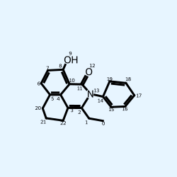 CCc1c2c3c(ccc(O)c3c(=O)n1-c1ccccc1)CCC2